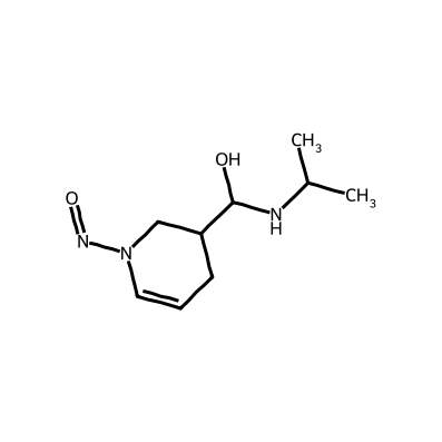 CC(C)NC(O)C1CC=CN(N=O)C1